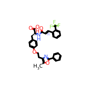 Cc1oc(-c2ccccc2)nc1CCOc1ccc(C[C@H](NC(=O)/C=C/c2ccccc2C(F)(F)F)C(=O)O)cc1